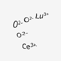 [Ce+3].[Lu+3].[O-2].[O-2].[O-2]